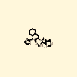 Nc1c2ncncc2nn1C(CC1CCCCC1)C(=O)Nc1nccs1